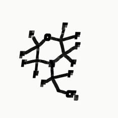 FC(F)(F)CC(F)(F)N1C(F)(F)C(F)(F)OC(F)(F)C1(F)F